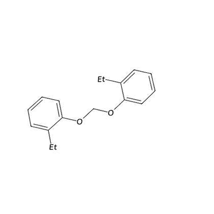 CCc1ccccc1OCOc1ccccc1CC